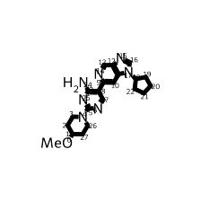 COC1CCN(c2ncc(-c3cc4c(cn3)ncn4C3CCCC3)c(N)n2)CC1